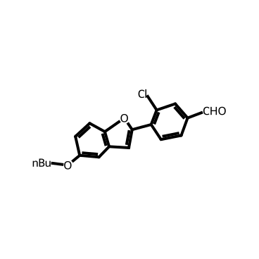 CCCCOc1ccc2oc(-c3ccc(C=O)cc3Cl)cc2c1